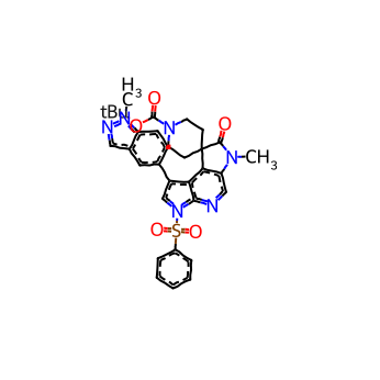 CN1C(=O)C2(CCN(C(=O)OC(C)(C)C)CC2)c2c1cnc1c2c(-c2ccc3c(cnn3C)c2)cn1S(=O)(=O)c1ccccc1